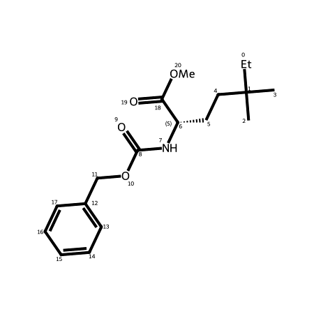 CCC(C)(C)CC[C@H](NC(=O)OCc1ccccc1)C(=O)OC